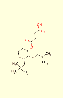 CC(C)CCC1C(CC(C)(C)C)CCCC1OC(=O)CCC(=O)O